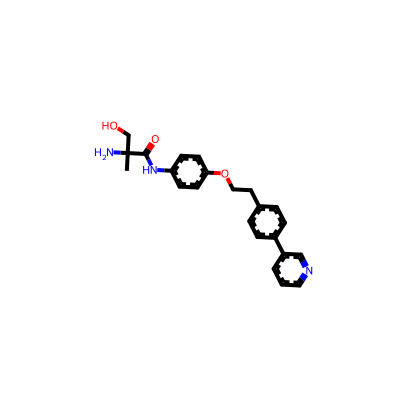 CC(N)(CO)C(=O)Nc1ccc(OCCc2ccc(-c3cccnc3)cc2)cc1